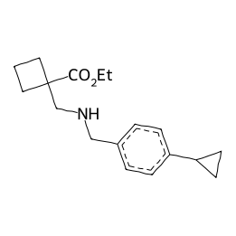 CCOC(=O)C1(CNCc2ccc(C3CC3)cc2)CCC1